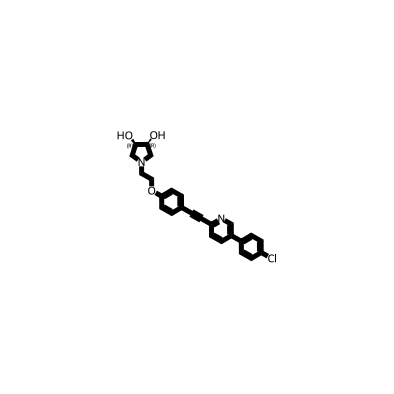 O[C@@H]1CN(CCOc2ccc(C#Cc3ccc(-c4ccc(Cl)cc4)cn3)cc2)C[C@H]1O